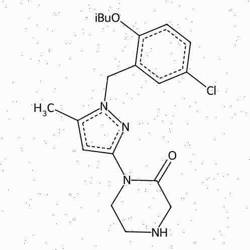 Cc1cc(N2CCNCC2=O)nn1Cc1cc(Cl)ccc1OCC(C)C